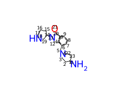 NC1CCN(Cc2cccc3c2CN(C2CCCNC2)C3=O)CC1